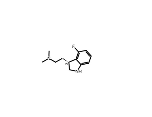 CN(C)CC[C@H]1CNc2cccc(F)c21